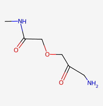 CNC(=O)COCC(=O)CN